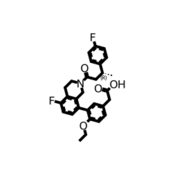 CCOc1ccc(CC(=O)O)cc1-c1ccc(F)c2c1CN(C(=O)C[C@@H](C)c1ccc(F)cc1)CC2